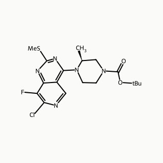 CSc1nc(N2CCN(C(=O)OC(C)(C)C)C[C@@H]2C)c2cnc(Cl)c(F)c2n1